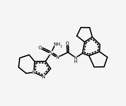 NS(=O)(=NC(=O)Nc1c2c(cc3c1CCC3)CCC2)c1cnn2c1CCCC2